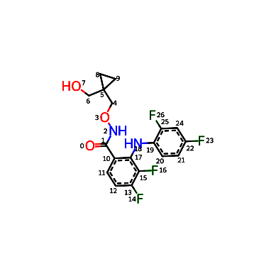 O=C(NOCC1(CO)CC1)c1ccc(F)c(F)c1Nc1ccc(F)cc1F